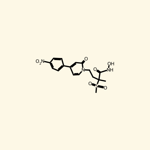 CC(CCn1ccc(-c2ccc([N+](=O)[O-])cc2)cc1=O)(C(=O)NO)S(C)(=O)=O